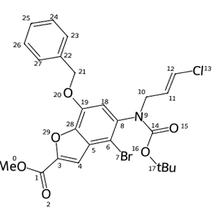 COC(=O)c1cc2c(Br)c(N(CC=CCl)C(=O)OC(C)(C)C)cc(OCc3ccccc3)c2o1